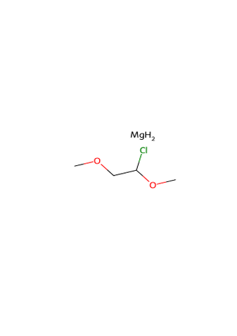 COCC(Cl)OC.[MgH2]